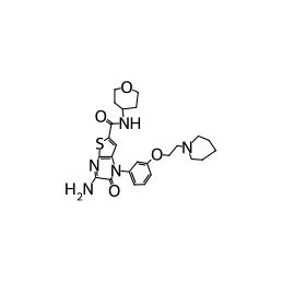 Nc1nc2sc(C(=O)NC3CCOCC3)cc2n(-c2cccc(OCCN3CCCCC3)c2)c1=O